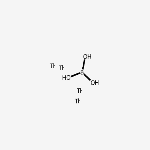 OB(O)O.[Tl].[Tl].[Tl].[Tl]